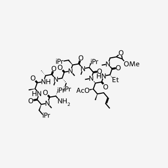 C/C=C/C[C@@H](C)[C@@H](OC(C)=O)[C@@H](C(=O)N[C@@H](CC)C(=O)N(C)CC1OC1OC)N(C)C(=O)[C@H](C(C)C)N(C)C(=O)[C@H](CC(C)C)N(C)C(=O)[C@H](CC(C)C)N(C)C(=O)[C@@H](C)NC(=O)[C@H](C)NC(=O)[C@H](CC(C)C)N(C)C(=O)[C@@H](N)C(C)C